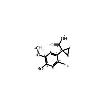 COc1cc(C2(C(=O)O)CC2)c(F)cc1Br